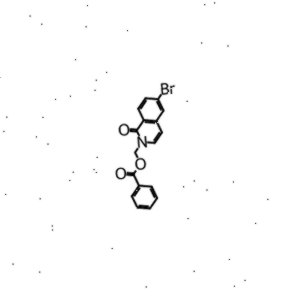 O=C(OCn1ccc2cc(Br)ccc2c1=O)c1ccccc1